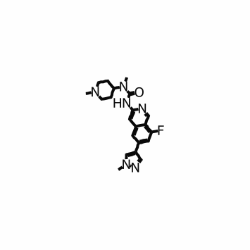 CN1CCC(N(C)C(=O)Nc2cc3cc(-c4cnn(C)c4)cc(F)c3cn2)CC1